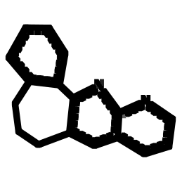 c1ccc2c(c1)CCCc1cc3cccnc3nc1-2